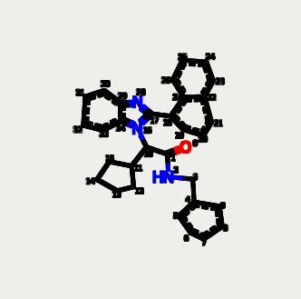 O=C(NCc1ccccc1)C(C1CCCC1)n1c(-c2cccc3ccccc23)nc2ccccc21